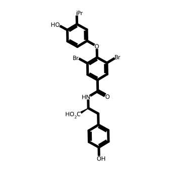 CC(C)c1cc(Oc2c(Br)cc(C(=O)N[C@@H](Cc3ccc(O)cc3)C(=O)O)cc2Br)ccc1O